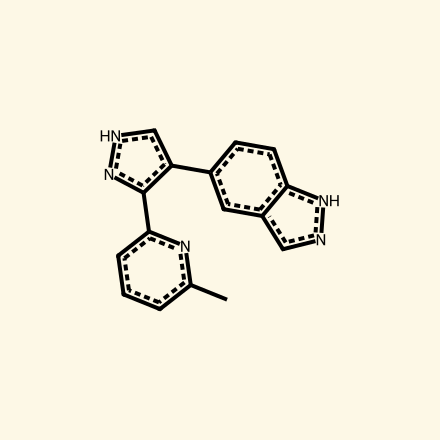 Cc1cccc(-c2n[nH]cc2-c2ccc3[nH]ncc3c2)n1